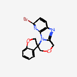 Brc1ccc2nc3n(c2n1)C1(COC3)COc2ccccc21